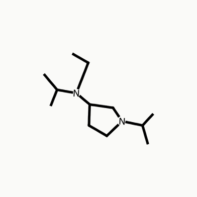 CCN(C(C)C)C1CCN(C(C)C)C1